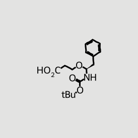 CC(C)(C)OC(=O)N[C@H](Cc1ccccc1)OCCC(=O)O